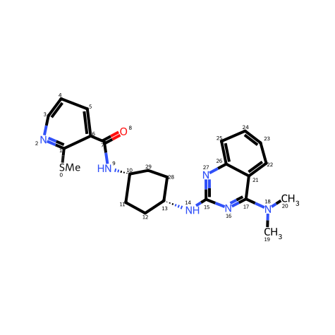 CSc1ncccc1C(=O)N[C@H]1CC[C@@H](Nc2nc(N(C)C)c3ccccc3n2)CC1